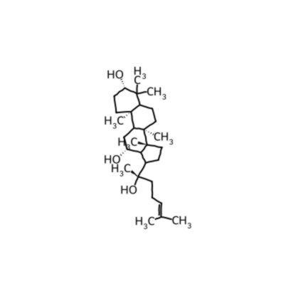 CC(C)=CCC[C@](C)(O)C1CC[C@]2(C)C1[C@H](O)CC1[C@@]3(C)CC[C@H](O)C(C)(C)C3CC[C@]12C